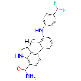 Cc1c(Nc2ccc(C(F)F)cc2)cccc1-c1ccc(C(N)=O)c2[nH]ccc12